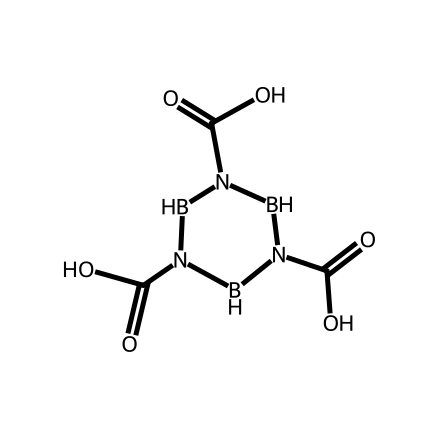 O=C(O)N1BN(C(=O)O)BN(C(=O)O)B1